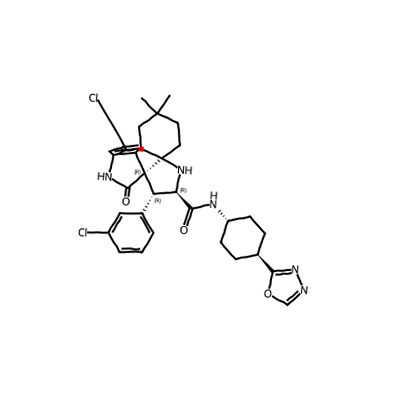 CC1(C)CCC2(CC1)N[C@@H](C(=O)N[C@H]1CC[C@H](c3nnco3)CC1)[C@H](c1cccc(Cl)c1)[C@]21C(=O)Nc2cc(Cl)ccc21